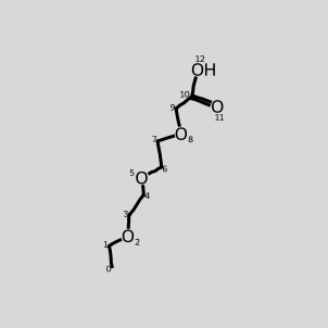 CCOCCOCCOCC(=O)O